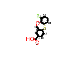 O=C(O)C1=CC2=COC3=C(CCC=C3F)SC2C=C1